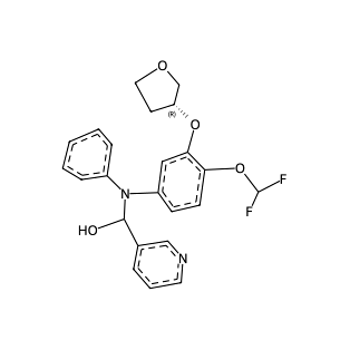 OC(c1cccnc1)N(c1ccccc1)c1ccc(OC(F)F)c(O[C@@H]2CCOC2)c1